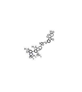 C=N/C=c1/c(=O)n(C)cc(-c2cc(OC)c(CN3CCC(c4ncc(COc5ccc6c(c5)C(=O)N(C5CCC(=O)NC5=O)C6=O)o4)CC3)c(OC)c2)/c1=C/C